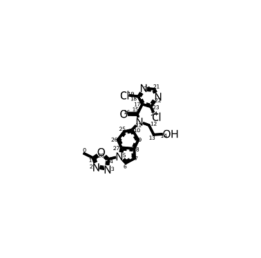 Cc1nnc(-n2ccc3cc(N(CCO)C(=O)c4c(Cl)ncnc4Cl)ccc32)o1